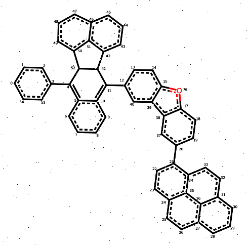 c1ccc(C2=c3ccccc3=C(c3ccc4oc5ccc(-c6ccc7ccc8cccc9ccc6c7c89)cc5c4c3)C3c4cccc5cccc(c45)C23)cc1